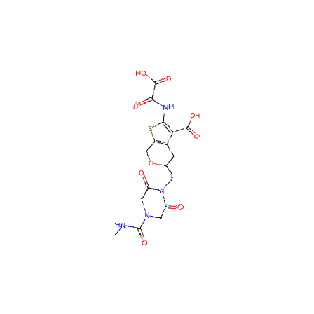 CNC(=O)N1CC(=O)N(CC2Cc3c(sc(NC(=O)C(=O)O)c3C(=O)O)CO2)C(=O)C1